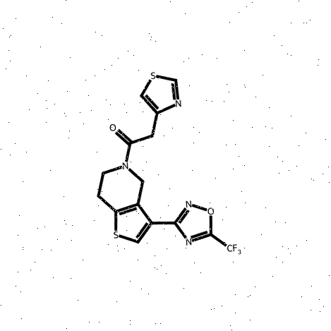 O=C(Cc1cscn1)N1CCc2scc(-c3noc(C(F)(F)F)n3)c2C1